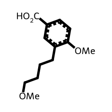 COCCCCc1cc(C(=O)O)ccc1OC